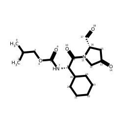 CC(C)COC(=O)N[C@H](C(=O)N1CC(=O)C[C@H]1C=O)C1CCCCC1